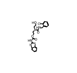 O=C(Nc1nc2ccccc2s1)OCCN(CCO)C(=O)NCc1ccccc1Cl